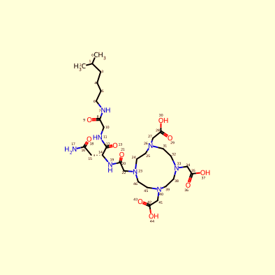 CC(C)CCCCNC(=O)CNC(=O)[C@@H](CC(N)=O)NC(=O)CN1CCN(CC(=O)O)CCN(CC(=O)O)CCN(CC(=O)O)CC1